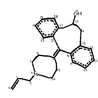 C=CCN1CCC(=C2c3ccccc3CC(O)c3ccccc32)CC1